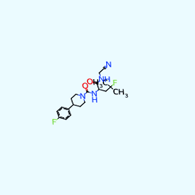 CC(C)(F)CC(NC(=O)N1CCC(c2ccc(F)cc2)CC1)C(=O)NCC#N